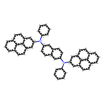 c1ccc(N(c2ccc3cc(N(c4ccccc4)c4cc5ccc6cccc7ccc(c4)c5c67)ccc3c2)c2cc3ccc4cccc5ccc(c2)c3c45)cc1